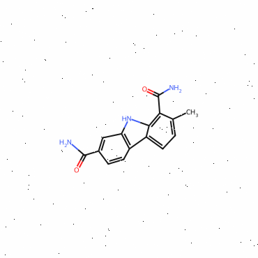 Cc1ccc2c([nH]c3cc(C(N)=O)ccc32)c1C(N)=O